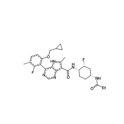 CCC(=O)N[C@@H]1CC[C@H](NC(=O)c2c(C)[nH]c3c(-c4c(OCC5CC5)ccc(C)c4F)ncnc23)[C@H](F)C1